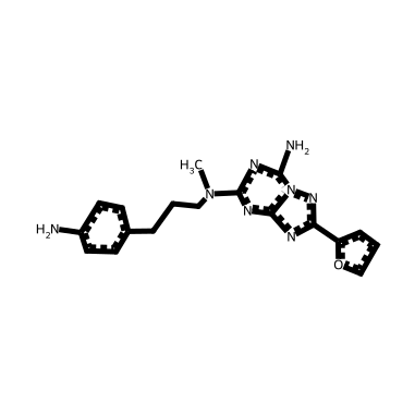 CN(CCCc1ccc(N)cc1)c1nc(N)n2nc(-c3ccco3)nc2n1